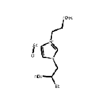 CC(=O)[O-].CCCCCCCCCCCC[n+]1ccn(CC(CC)CCCC)c1